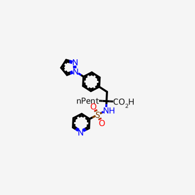 CCCCCC(Cc1ccc(-n2cccn2)cc1)(NS(=O)(=O)c1cccnc1)C(=O)O